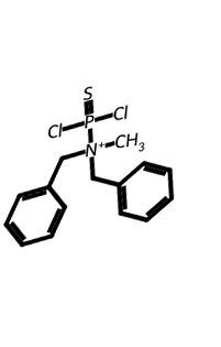 C[N+](Cc1ccccc1)(Cc1ccccc1)P(=S)(Cl)Cl